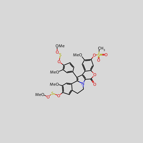 COOSOc1ccc(-c2c3n(c4c(=O)oc5cc(OS(C)(=O)=O)c(OC)cc5c24)CCc2cc(OSOOC)c(OC)cc2-3)cc1OC